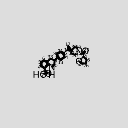 O=C(O)c1cccc2c1NCC(c1ccc([C@H]3CC34CCN(C(=O)[C@H]3CCCO3)CC4)cc1)C2